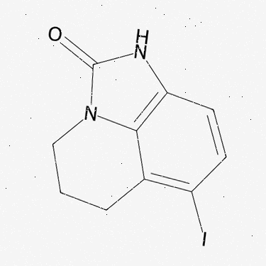 O=c1[nH]c2ccc(I)c3c2n1CCC3